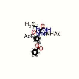 C=CCn1c(=O)n([C@@H]2C[C@H](COC(=O)c3ccccc3)C[C@H]2OC(C)=O)c2nc(NC(C)=O)[nH]c(=O)c21